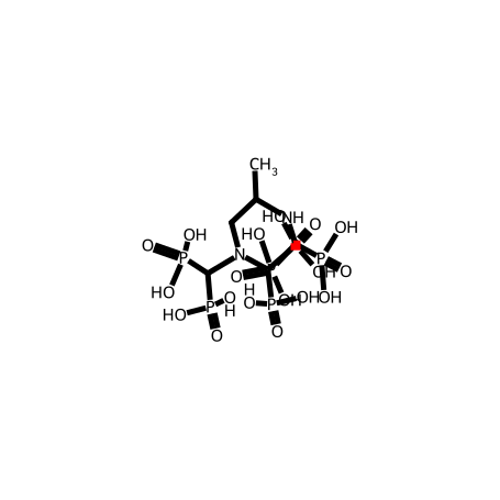 CC(CN(C(P(=O)(O)O)P(=O)(O)O)C(P(=O)(O)O)P(=O)(O)O)NC(P(=O)(O)O)P(=O)(O)O